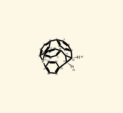 c1cc2ccc1-c1ccc(cc1)P1c3ccc(cc3)C3[C@@H]2[C@H]3c2ccc1cc2